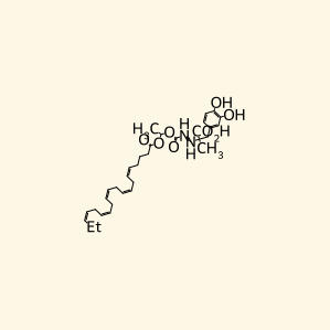 CC/C=C\C/C=C\C/C=C\C/C=C\C/C=C\CCCC(=O)OC(C)OC(=O)NN[C@@](C)(Cc1ccc(O)c(O)c1)C(=O)O